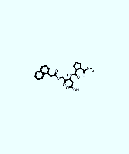 NC(=O)C1CCCC1C(=O)NC(CC(=O)O)C(=O)COC(=O)Cc1cccc2ccccc12